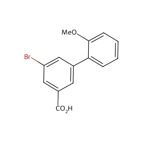 COc1ccccc1-c1cc(Br)cc(C(=O)O)c1